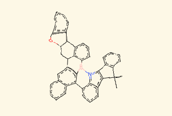 CC1(C)c2ccccc2-c2c1c1cccc3c1n2B1c2cccc4c2C(CC2Oc5ccccc5C42)c2cc4ccccc4c-3c21